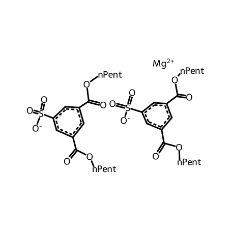 CCCCCOC(=O)c1cc(C(=O)OCCCCC)cc(S(=O)(=O)[O-])c1.CCCCCOC(=O)c1cc(C(=O)OCCCCC)cc(S(=O)(=O)[O-])c1.[Mg+2]